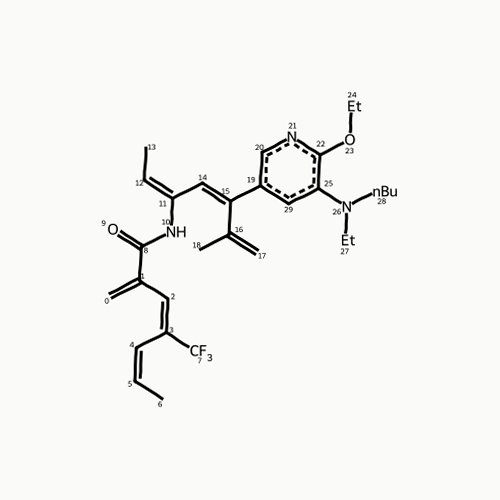 C=C(/C=C(\C=C/C)C(F)(F)F)C(=O)NC(=C/C)/C=C(\C(=C)C)c1cnc(OCC)c(N(CC)CCCC)c1